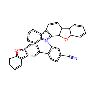 N#Cc1ccc(-c2ccc3oc4c(c3c2)C=CCC4)c(-n2c3c(c4ccccc42)C=CC2C3OC3C=CC=CC32)c1